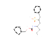 CCCC(CC(Cc1ccccc1)S(=O)(=O)O)NC(=O)OCc1ccccc1